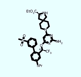 CCCc1ccc(-c2cccc(S(C)(=O)=O)c2)c([C@@H](Oc2cc(N3CCC4(CC3)CN[C@H](C(=O)OCC)C4)nc(N)n2)C(F)(F)F)c1